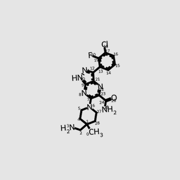 CC1(CN)CCN(c2nc3[nH]nc(-c4cccc(Cl)c4F)c3nc2C(N)=O)CC1